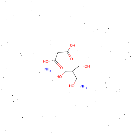 N.N.O=C(O)CC(=O)O.OCC(CO)CO